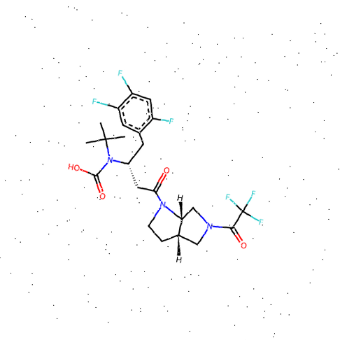 CC(C)(C)N(C(=O)O)[C@@H](CC(=O)N1CC[C@H]2CN(C(=O)C(F)(F)F)C[C@H]21)Cc1cc(F)c(F)cc1F